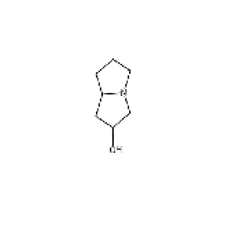 OC1CC2CCCN2C1